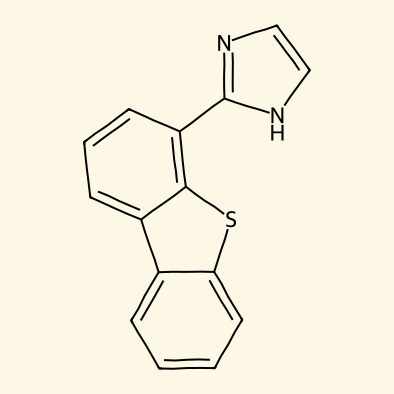 c1ccc2c(c1)sc1c(-c3ncc[nH]3)cccc12